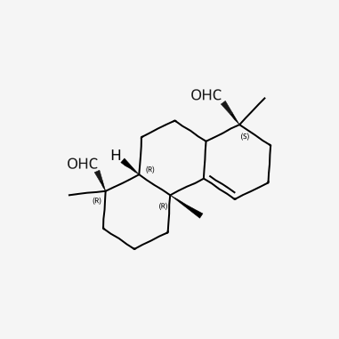 C[C@]1(C=O)CCC=C2C1CC[C@@H]1[C@@]2(C)CCC[C@@]1(C)C=O